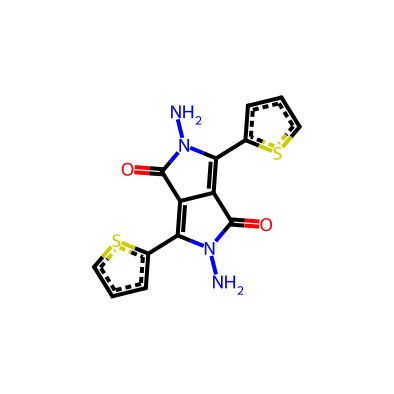 NN1C(=O)C2=C(c3cccs3)N(N)C(=O)C2=C1c1cccs1